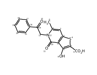 Cc1cc2sc(C(=O)O)c(O)c2c(=O)n1CC(=O)c1ccccc1